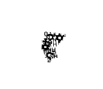 Cc1cc(F)c(NC2CCC(=O)N(CC(C)(C)c3ccc(F)c(NC4CCC(=O)NC4=O)c3F)C2=O)c(F)c1